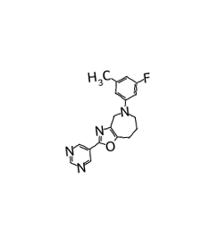 Cc1cc(F)cc(N2CCCc3oc(-c4cncnc4)nc3C2)c1